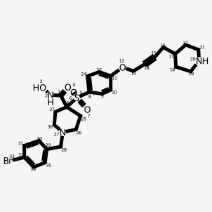 O=C(NO)C1(S(=O)(=O)c2ccc(OCC#CCC3CCNCC3)cc2)CCN(Cc2ccc(Br)cc2)CC1